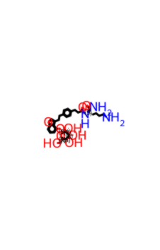 NCCCC[C@H](NC(=O)CCc1ccc(CCc2coc3cccc(O[C@@H]4O[C@H](CO)[C@@H](O)[C@H](O)[C@H]4O)c23)cc1)C(N)=O